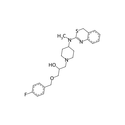 CN(C1=Nc2ccccc2CS1)C1CCN(CC(O)COCc2ccc(F)cc2)CC1